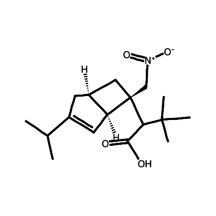 CC(C)C1=C[C@H]2[C@@H](C1)C[C@]2(C[N+](=O)[O-])C(C(=O)O)C(C)(C)C